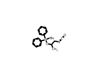 CC(CN=C=O)O[Si](c1ccccc1)(c1ccccc1)C(C)(C)C